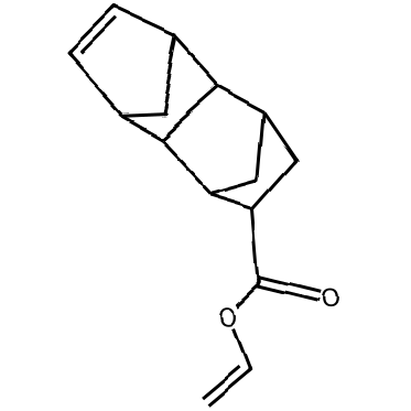 C=COC(=O)C1CC2CC1C1C3C=CC(C3)C21